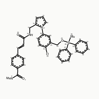 CNC(=O)c1ccc(/C=C/C(=O)NCc2cccn2-c2ccc(Cl)c(CO[Si](c3ccccc3)(c3ccccc3)C(C)(C)C)c2)cc1